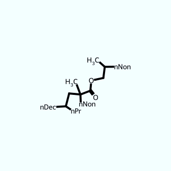 CCCCCCCCCCC(CCC)CC(C)(CCCCCCCCC)C(=O)OCC(C)CCCCCCCCC